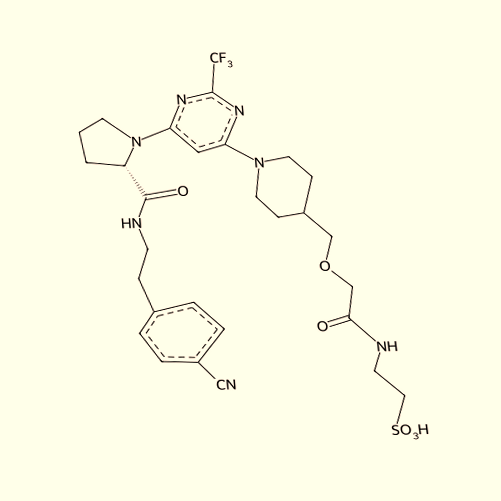 N#Cc1ccc(CCNC(=O)[C@@H]2CCCN2c2cc(N3CCC(COCC(=O)NCCS(=O)(=O)O)CC3)nc(C(F)(F)F)n2)cc1